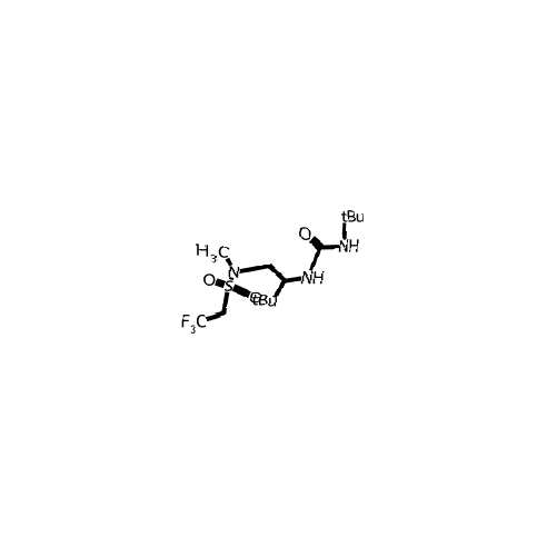 CN(CC(NC(=O)NC(C)(C)C)C(C)(C)C)S(=O)(=O)CC(F)(F)F